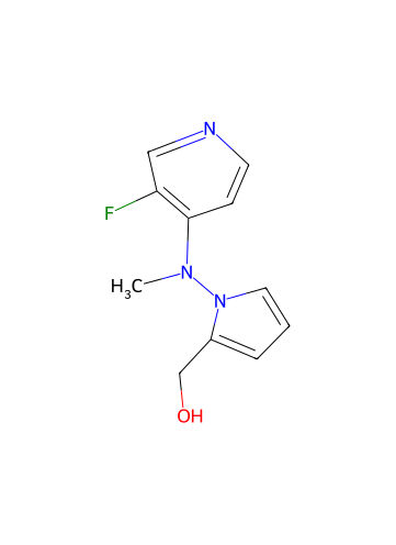 CN(c1ccncc1F)n1cccc1CO